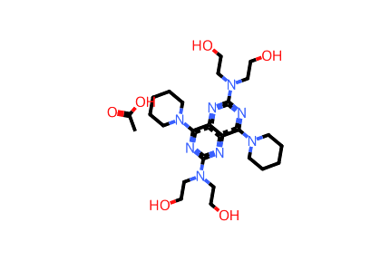 CC(=O)O.OCCN(CCO)c1nc(N2CCCCC2)c2nc(N(CCO)CCO)nc(N3CCCCC3)c2n1